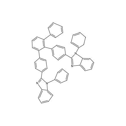 C1=CCCC(n2c(-c3ccc(-c4c(-c5ccccc5)cccc4-c4ccc(-c5nc6ccccc6n5-c5ccccc5)cc4)cc3)nc3ccccc32)=C1